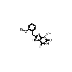 CCCn1c(=O)[nH]c(=O)c2[nH]c(Cc3ccccc3OCC)nc21